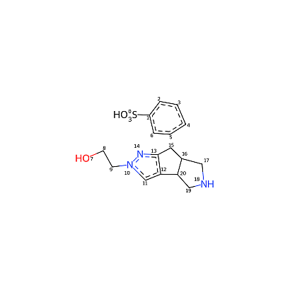 O=S(=O)(O)c1ccccc1.OCCn1cc2c(n1)CC1CNCC21